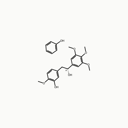 COc1ccc(C[C@@H](O)c2cc(OC)c(OC)c(OC)c2)cc1O.Oc1ccccc1